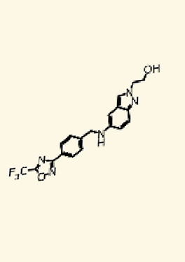 OCCn1cc2cc(NCc3ccc(-c4noc(C(F)(F)F)n4)cc3)ccc2n1